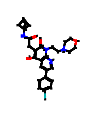 O=C(Cc1c(O)c2cc(-c3ccc(F)cc3)cnc2n(CCN2CCOCC2)c1=O)NC12CC(C1)C2